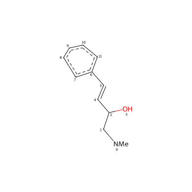 CNCC(O)/C=C/c1ccccc1